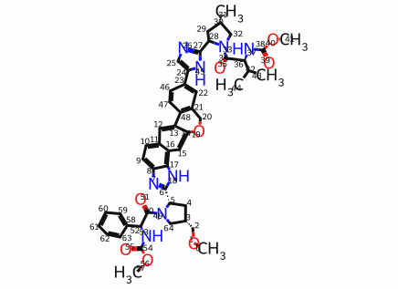 COC[C@H]1C[C@@H](c2nc3ccc4cc5c(cc4c3[nH]2)OCc2cc(-c3cnc(C4C[C@H](C)CN4C(=O)[C@@H](NC(=O)OC)C(C)C)[nH]3)ccc2-5)N(C(=O)[C@H](NC(=O)OC)c2ccccc2)C1